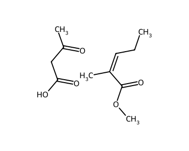 CC(=O)CC(=O)O.CCC=C(C)C(=O)OC